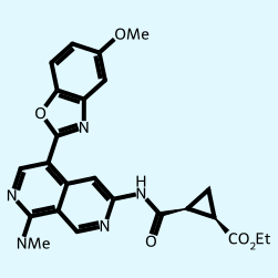 CCOC(=O)[C@@H]1C[C@@H]1C(=O)Nc1cc2c(-c3nc4cc(OC)ccc4o3)cnc(NC)c2cn1